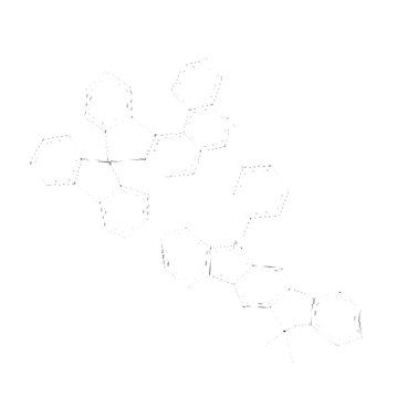 CC1(C)c2ccccc2-c2cc3c(cc21)c1ccccc1n3-c1cccc(-c2nc3ccccc3c3c4c(ccc23)C2(c3ccccc3-c3ccccc32)c2ccccc2-4)c1